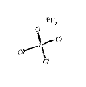 B.[Cl][Zr]([Cl])([Cl])[Cl]